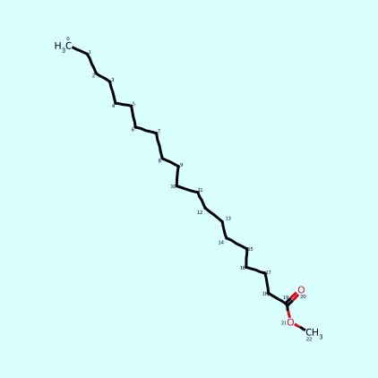 CCCCCCCCCCCCCCCCCC[CH]C(=O)OC